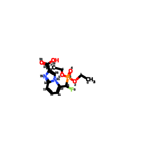 CCOP(=O)(OCC)C(F)c1cccc2nc(C(=O)O)cn12